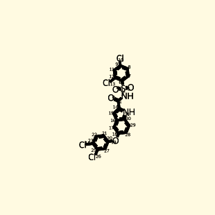 O=C(NS(=O)(=O)c1ccc(Cl)cc1Cl)c1cc2cc(Oc3ccc(Cl)c(Cl)c3)ccc2[nH]1